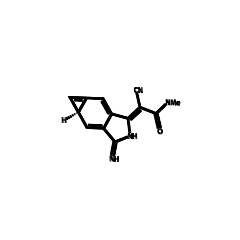 CNC(=O)/C(C#N)=C1\NC(=N)C2=C[C@H]3C=C3C=C21